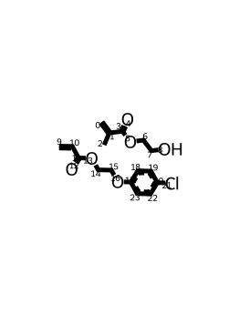 C=C(C)C(=O)OCCO.C=CC(=O)OCCOc1ccc(Cl)cc1